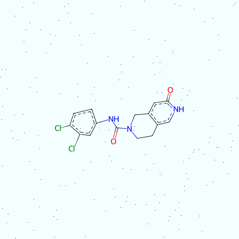 O=C(Nc1ccc(Cl)c(Cl)c1)N1CCc2c[nH]c(=O)cc2C1